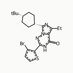 CCc1nc([C@H]2CC[C@@H](C(C)(C)C)CC2)n2nc(-c3sccc3Br)[nH]c(=O)c12